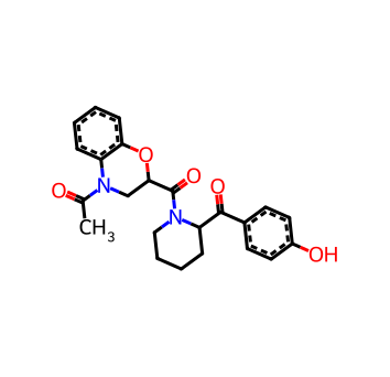 CC(=O)N1CC(C(=O)N2CCCCC2C(=O)c2ccc(O)cc2)Oc2ccccc21